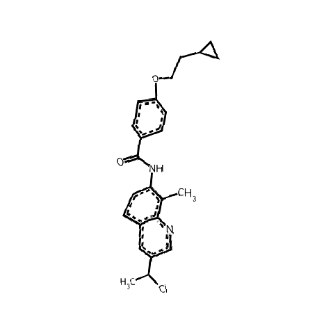 Cc1c(NC(=O)c2ccc(OCCC3CC3)cc2)ccc2cc(C(C)Cl)cnc12